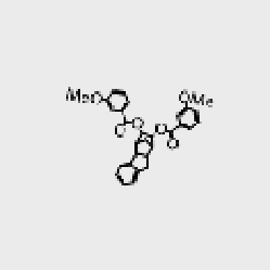 COc1cccc(C(=O)OC2C3CC(C2OC(=O)c2cccc(OC)c2)C2c4ccccc4CC32)c1